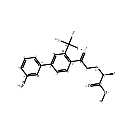 COC(=O)[C@H](C)NCC(=O)c1ccc(-c2cccc(N)c2)cc1C(F)(F)F